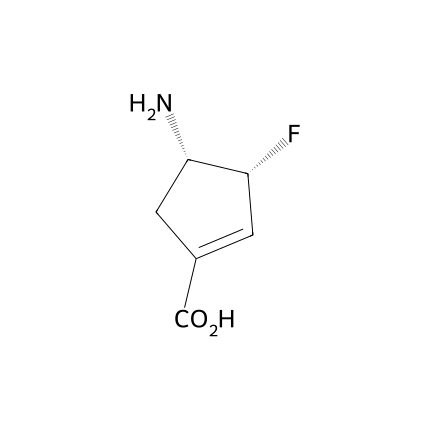 N[C@H]1CC(C(=O)O)=C[C@H]1F